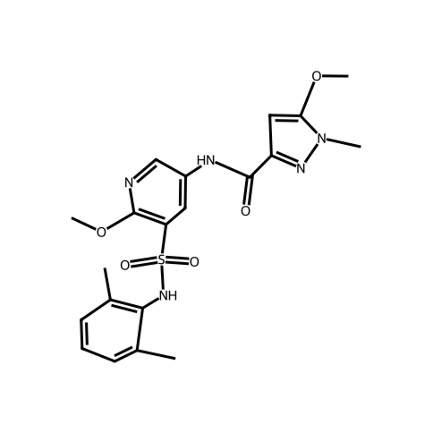 COc1ncc(NC(=O)c2cc(OC)n(C)n2)cc1S(=O)(=O)Nc1c(C)cccc1C